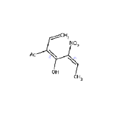 C=C/C(C(C)=O)=C(O)\C(=C/C)[N+](=O)[O-]